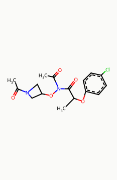 CC(=O)N1CC(ON(C(C)=O)C(=O)C(C)Oc2ccc(Cl)cc2)C1